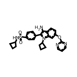 Nc1c(-c2ccc(S(=O)(=O)NC3CCC3)cc2)n(C2CCC2)c2cc(Oc3ncccn3)ccc12